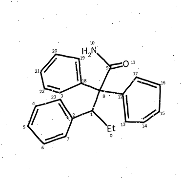 CCC(c1ccccc1)C(C(N)=O)(c1ccccc1)c1ccccc1